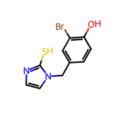 Oc1ccc(Cn2ccnc2S)cc1Br